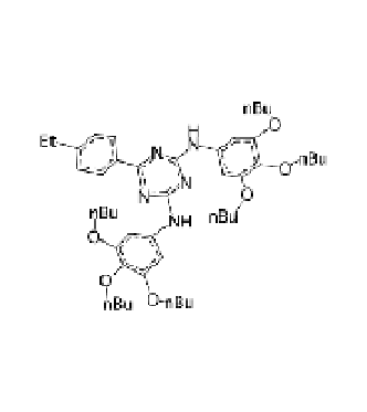 [CH2]Cc1ccc(-c2nc(Nc3cc(OCCCC)c(OCCCC)c(OCCCC)c3)nc(Nc3cc(OCCCC)c(OCCCC)c(OCCCC)c3)n2)cc1